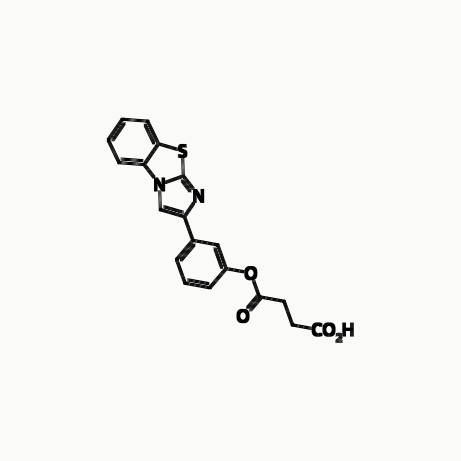 O=C(O)CCC(=O)Oc1cccc(-c2cn3c(n2)sc2ccccc23)c1